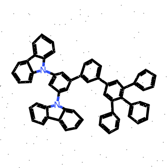 c1ccc(-c2cc(-c3cccc(-c4cc(-n5c6ccccc6c6ccccc65)cc(-n5c6ccccc6c6ccccc65)c4)c3)cc(-c3ccccc3)c2-c2ccccc2)cc1